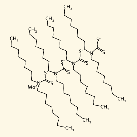 CCCCCCCCN(CCCCCCCC)C(=S)[S-].CCCCCCCCN(CCCCCCCC)C(=S)[S-].CCCCCCCCN(CCCCCCCC)C(=S)[S-].CCCCCCCCN(CCCCCCCC)C(=S)[S-].[Mo+4]